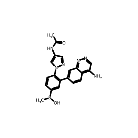 CB(O)c1ccc(-n2cc(NC(C)=O)cn2)c(-c2ccc3c(N)cnnc3c2)c1